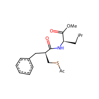 COC(=O)[C@@H](CC(C)C)NC(=O)[C@@H](CSC(C)=O)Cc1ccccc1